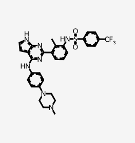 Cc1c(NS(=O)(=O)c2ccc(C(F)(F)F)cc2)cccc1-c1nc(Nc2ccc(N3CCN(C)CC3)cc2)c2cc[nH]c2n1